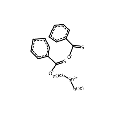 CCCCCCC[CH2][Sn+2][CH2]CCCCCCC.[O-]C(=S)c1ccccc1.[O-]C(=S)c1ccccc1